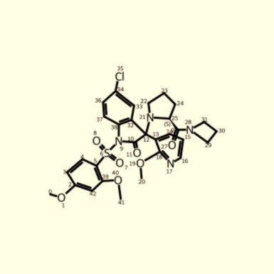 COc1ccc(S(=O)(=O)N2C(=O)C(c3cccnc3OC)(N3CCC[C@H]3C(=O)N3CCC3)c3cc(Cl)ccc32)c(OC)c1